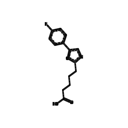 O=C(O)CCCCc1ncc(-c2ccc(F)cc2)o1